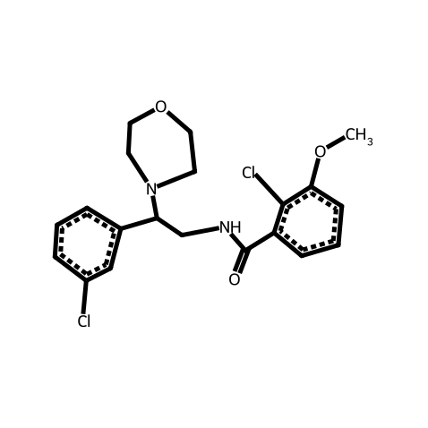 COc1cccc(C(=O)NCC(c2cccc(Cl)c2)N2CCOCC2)c1Cl